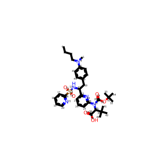 CCCCN(C)c1ccc(CC(NS(=O)(=O)c2ccccn2)c2cccc(N(C(=O)OC(C)(C)C)C(C(=O)O)C(C)(C)C)n2)cc1